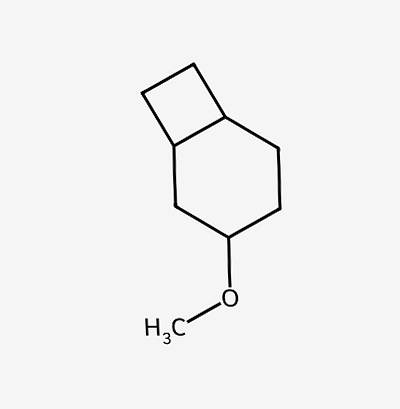 COC1CCC2CCC2C1